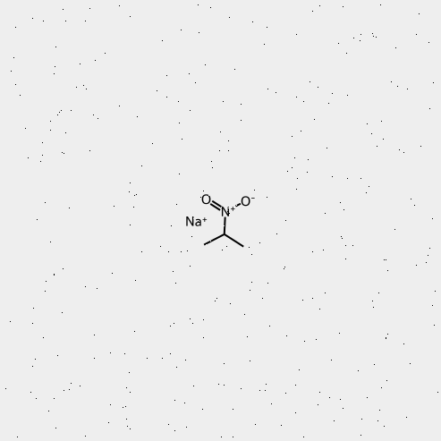 CC(C)[N+](=O)[O-].[Na+]